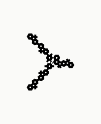 Cc1cc(N(c2cc(C)c(-c3ccc4c(c3)C(C)(C)c3cc(-c5ccc6c(c5)C(C)(C)c5ccccc5-6)ccc3-4)cc2C)c2cc3c(c4ccccc24)-c2cc4c(cc2C3(C)C)-c2ccccc2C4(C)C)c(C)cc1-c1ccc2c(c1)C(C)(C)c1cc(-c3ccc4c(c3)C(C)(C)c3ccccc3-4)ccc1-2